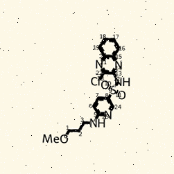 COCCCNc1ccc(S(=O)(=O)Nc2nc3ccccc3nc2Cl)cn1